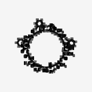 CCC(C)[C@H]1C(=O)N[C@@H](CC(C)C)C(=O)N(C)CC(=O)N[C@@H]([C@@H](C)O)C(=O)N[C@@H](Cc2ccccc2)C(=O)N[C@@H](C)C(=O)N(C)[C@@H](CC(C)C)C(=O)N[C@@H](Cc2ccccc2)C(=O)N[C@@H](C(C)C)C(=O)N[C@H](C(=O)N2CCCCC2)CC(=O)NC(C)C(=O)NN1C